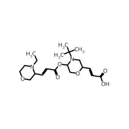 CCN1CCOCC1/C=C/C(=O)OC1COC(/C=C/C(=O)O)CN1C(C)(C)C